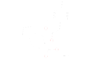 CCOC(=O)C1(OC(=O)Cc2c(C)cc(C)cc2C)CCC2CCCC2C1